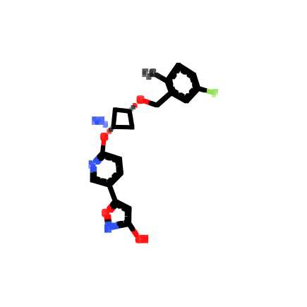 N.Oc1cc(-c2ccc(O[C@H]3C[C@@H](OCc4cc(F)ccc4C(F)(F)F)C3)nc2)on1